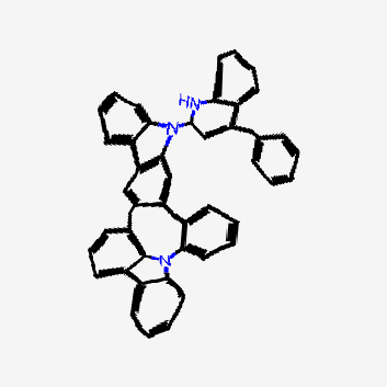 C1=C(c2ccccc2)c2ccccc2NC1n1c2ccccc2c2cc3c(cc21)-c1ccccc1-n1c2ccccc2c2cccc-3c21